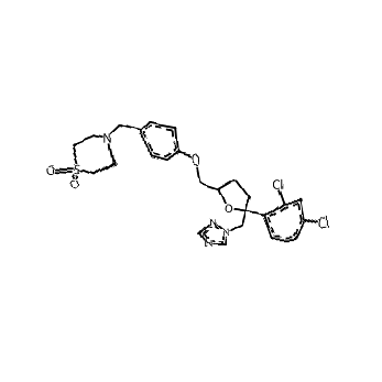 O=S1(=O)CCN(Cc2ccc(OCC3CCC(Cn4cncn4)(c4ccc(Cl)cc4Cl)O3)cc2)CC1